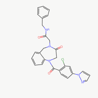 O=C(CN1Cc2ccccc2N(C(=O)c2ccc(-n3cccn3)cc2Cl)CC1=O)NCc1ccccc1